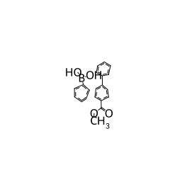 COC(=O)c1ccc(-c2ccccc2)cc1.OB(O)c1ccccc1